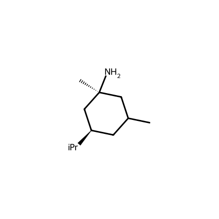 CC1C[C@@H](C(C)C)C[C@@](C)(N)C1